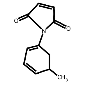 CC1C=CC=C(N2C(=O)C=CC2=O)C1